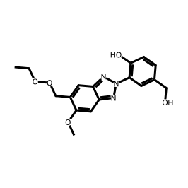 CCOOCc1cc2nn(-c3cc(CO)ccc3O)nc2cc1OC